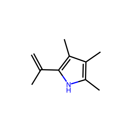 C=C(C)c1[nH]c(C)c(C)c1C